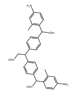 CCCCCCCCCCCC(c1ccc(C(CCCCCCCCCC)c2ccc(N)cc2C)cc1)c1ccc(C(CCCCCCCCCC)c2ccc(N)cc2C)cc1